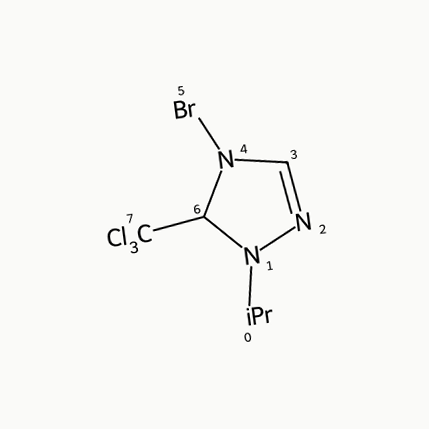 CC(C)N1N=CN(Br)C1C(Cl)(Cl)Cl